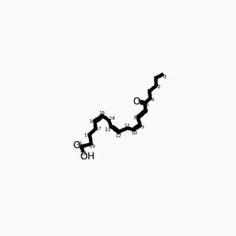 CCCCCC(=O)/C=C/C=C\C/C=C\C/C=C\CCCC(=O)O